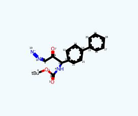 CC(C)(C)OC(=O)NC(C(=O)C=[N+]=[N-])c1ccc(-c2ccccc2)cc1